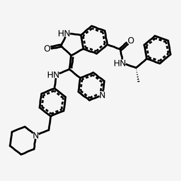 C[C@H](NC(=O)c1ccc2c(c1)/C(=C(/Nc1ccc(CN3CCCCC3)cc1)c1ccncc1)C(=O)N2)c1ccccc1